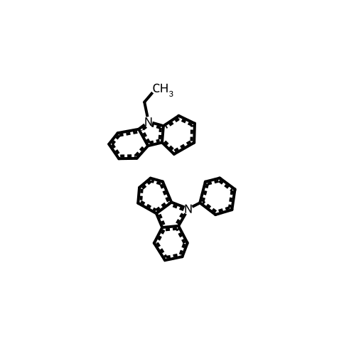 CCn1c2ccccc2c2ccccc21.c1ccc(-n2c3ccccc3c3ccccc32)cc1